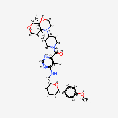 Cc1c(NC[C@H]2CCC[C@@H](c3ccc(OC(F)(F)F)cc3)O2)ncnc1C(=O)N1CCC(N2CCO[C@@H]3COCC[C@H]32)CC1